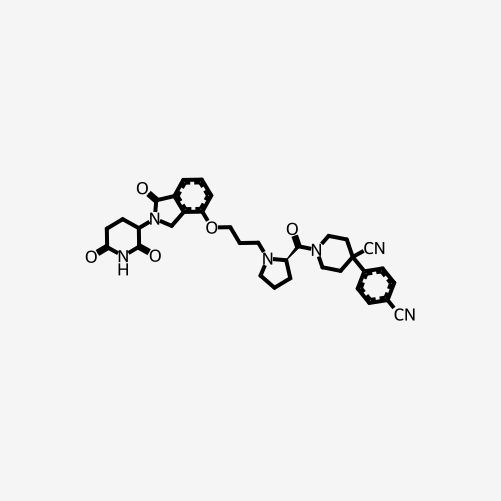 N#Cc1ccc(C2(C#N)CCN(C(=O)[C@H]3CCCN3CCCOc3cccc4c3CN(C3CCC(=O)NC3=O)C4=O)CC2)cc1